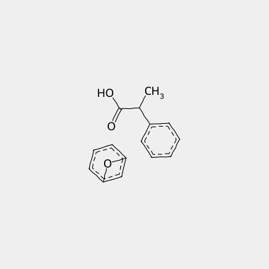 CC(C(=O)O)c1ccccc1.c1cc2cc(c1)O2